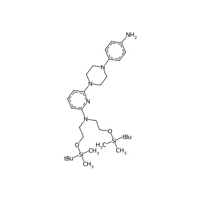 CC(C)(C)[Si](C)(C)OCCN(CCO[Si](C)(C)C(C)(C)C)c1cccc(N2CCN(c3ccc(N)cc3)CC2)n1